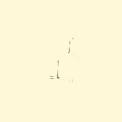 C=C(C)CC(=O)O